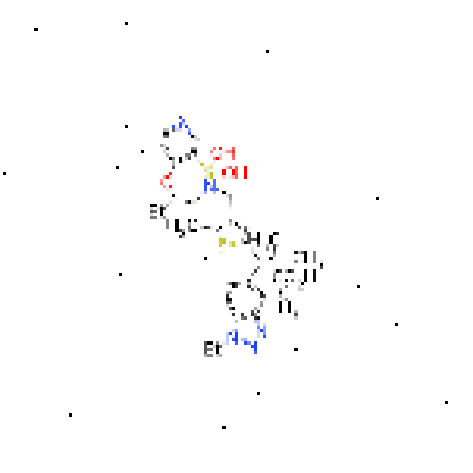 CCC1CN(Cc2cc(C(c3ccc4c(nnn4CC)c3C)C(C)(C)C(=O)O)sc2C)S(O)(O)c2cnccc2O1